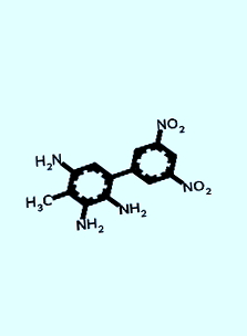 Cc1c(N)cc(-c2cc([N+](=O)[O-])cc([N+](=O)[O-])c2)c(N)c1N